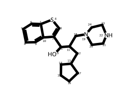 OC(c1csc2ccccc12)C(CC1CCCC1)CN1CCNCC1